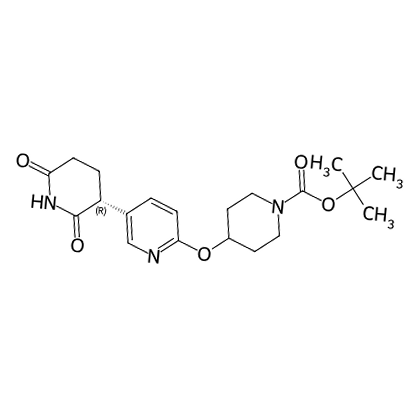 CC(C)(C)OC(=O)N1CCC(Oc2ccc([C@H]3CCC(=O)NC3=O)cn2)CC1